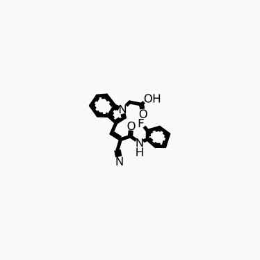 N#CC(=Cc1cn(CC(=O)O)c2ccccc12)C(=O)Nc1ccccc1F